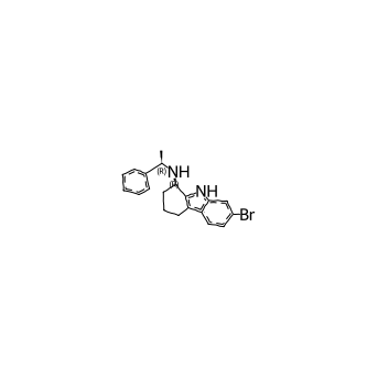 C[C@@H](N[C@@H]1CCCc2c1[nH]c1cc(Br)ccc21)c1ccccc1